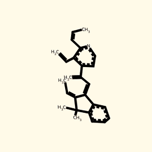 C=Cc1c(C(=C)/C=C2\C(=C/C)C(C)(C)c3ccccc32)ccnc1/C=C\C